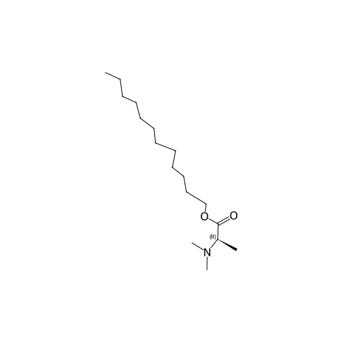 CCCCCCCCCCCCOC(=O)[C@@H](C)N(C)C